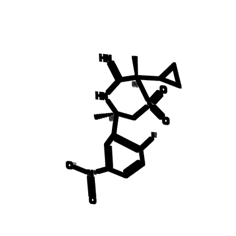 C[C@@]1(c2cc([N+](=O)[O-])ccc2F)CS(=O)(=O)[C@@](C)(C2CC2)C(=N)N1